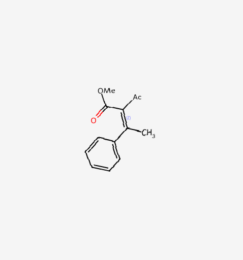 COC(=O)/C(C(C)=O)=C(/C)c1ccccc1